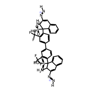 [H]/N=N/C1=Cc2ccccc2C(c2ccc(-c3ccc(C4(S(=O)(=O)O)c5ccccc5C=C(/N=N/[H])C4N)c(C(F)(F)F)c3)cc2C(F)(F)F)(S(=O)(=O)O)C1N